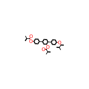 C=C(C)C(=C)Oc1ccc(-c2ccc(-c3ccc(OC(=O)C(=C)C)cc3)cc2OC(=O)C(=C)C)cc1